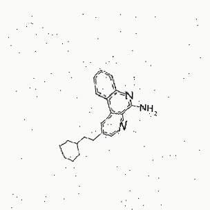 Nc1nc2ccccc2c2cc(CCC3CCCCC3)cnc12